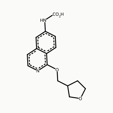 O=C(O)Nc1ccc2c(OCC3CCOC3)nccc2c1